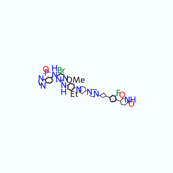 CCc1cc(Nc2ncc(Br)c(Nc3ccc4nccnc4c3P(C)(C)=O)n2)c(OC)cc1N1CCC(N2CCN(C3CC(c4ccc(C5CCC(=O)NC5=O)c(F)c4)C3)CC2)CC1